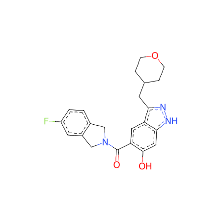 O=C(c1cc2c(CC3CCOCC3)n[nH]c2cc1O)N1Cc2ccc(F)cc2C1